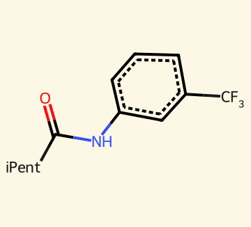 CCCC(C)C(=O)Nc1cccc(C(F)(F)F)c1